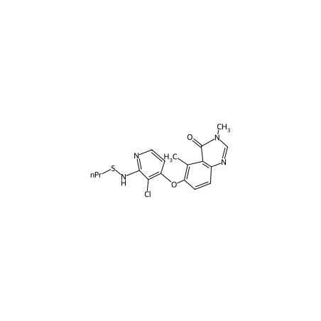 CCCSNc1nccc(Oc2ccc3ncn(C)c(=O)c3c2C)c1Cl